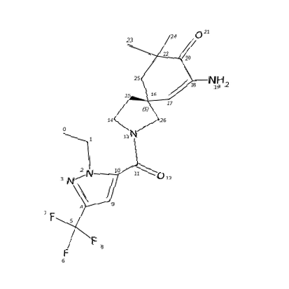 CCn1nc(C(F)(F)F)cc1C(=O)N1CC[C@@]2(C=C(N)C(=O)C(C)(C)C2)C1